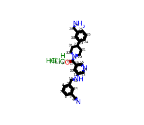 Cl.Cl.Cl.N#Cc1cccc(CNc2cncc(C(=O)N3CCC(c4cccc(CN)c4)CC3)c2)c1